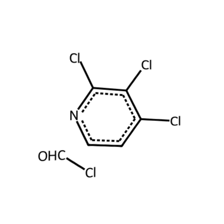 Clc1ccnc(Cl)c1Cl.O=CCl